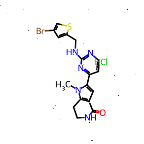 Cl.Cn1c(-c2ccnc(NCc3cc(Br)cs3)n2)cc2c1CCNC2=O